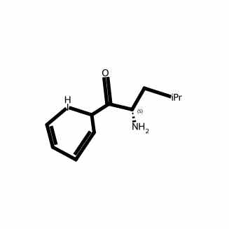 CC(C)C[C@H](N)C(=O)C1C=CC=C[IH]1